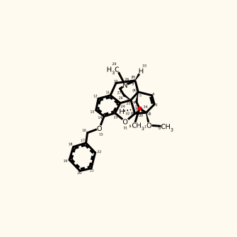 CO[C@]12C=C[C@@]3(C[C@@H]1C)[C@H]1Cc4ccc(OCc5ccccc5)c5c4[C@@]3(CCN1C)[C@H]2O5